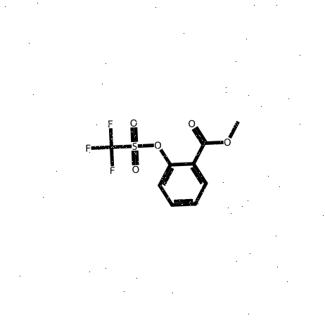 COC(=O)c1c[c]ccc1OS(=O)(=O)C(F)(F)F